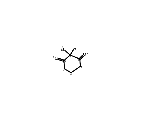 CCC1(C)C(=O)CCCC1=O